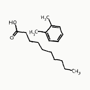 CCCCCCCCCC(=O)O.Cc1ccccc1C